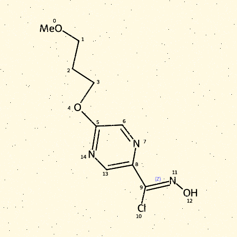 COCCCOc1cnc(/C(Cl)=N/O)cn1